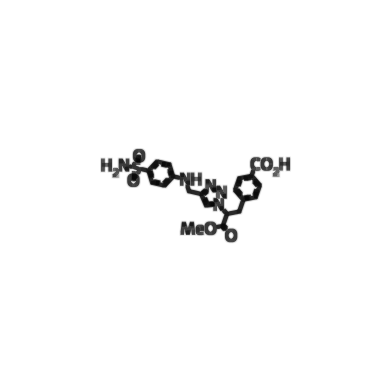 COC(=O)C(Cc1ccc(C(=O)O)cc1)n1cc(CNc2ccc(S(N)(=O)=O)cc2)nn1